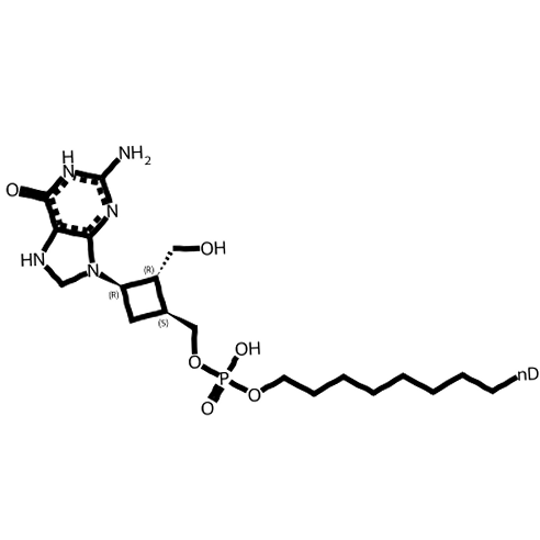 CCCCCCCCCCCCCCCCCCOP(=O)(O)OC[C@H]1C[C@@H](N2CNc3c2nc(N)[nH]c3=O)[C@@H]1CO